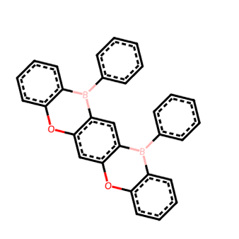 c1ccc(B2c3ccccc3Oc3cc4c(cc32)B(c2ccccc2)c2ccccc2O4)cc1